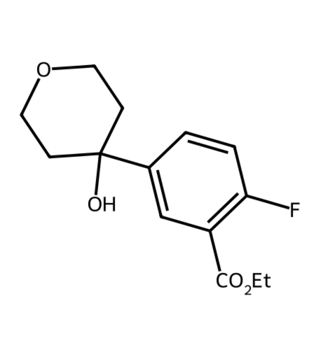 CCOC(=O)c1cc(C2(O)CCOCC2)ccc1F